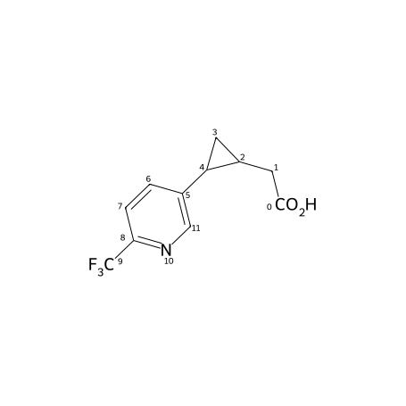 O=C(O)CC1CC1c1ccc(C(F)(F)F)nc1